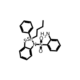 CCC[CH2][Sn]1([c]2ccccc2)[S]c2ccccc2[N]1S(=O)(=O)c1ccccc1N